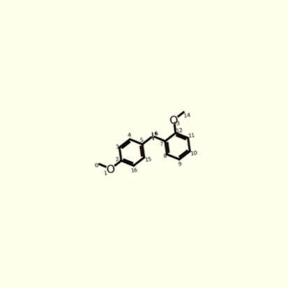 COc1ccc([I+]c2ccccc2OC)cc1